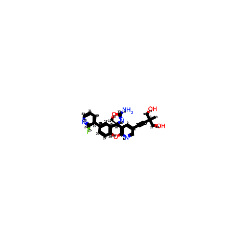 CC(C#Cc1cnc2c(c1)[C@]1(COC(N)=N1)c1cc(-c3cccnc3F)ccc1O2)(CO)CO